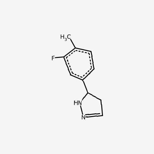 Cc1ccc(C2CC=NN2)cc1F